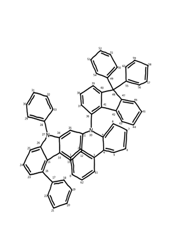 c1ccc(-c2ccccc2N(c2ccc3c4c(-c5ccccc5)cccc4n(-c4ccccc4)c3c2)c2cccc3c2-c2ccccc2C3(c2ccccc2)c2ccccc2)cc1